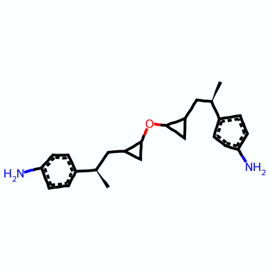 C[C@H](CC1CC1OC1CC1C[C@@H](C)c1ccc(N)cc1)c1ccc(N)cc1